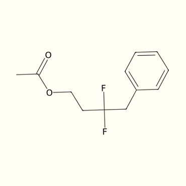 CC(=O)OCCC(F)(F)Cc1ccccc1